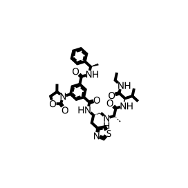 CCNC(=O)[C@@H](NC(=O)[C@H](C)NC[C@H](Cc1cscn1)NC(=O)c1cc(C(=O)N[C@H](C)c2ccccc2)cc(N2C(=O)OCC2C)c1)C(C)C